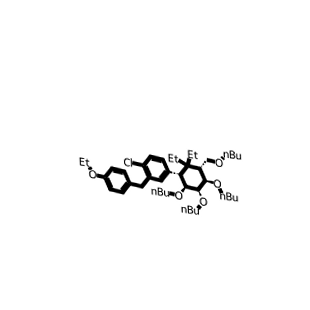 CCCCOC[C@@H]1[C@@H](OCCCC)[C@H](OCCCC)[C@@H](OCCCC)[C@H](c2ccc(Cl)c(Cc3ccc(OCC)cc3)c2)C1(CC)CC